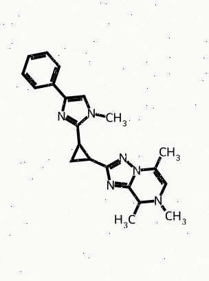 CC1=CN(C)C(C)c2nc(C3CC3c3nc(-c4ccccc4)cn3C)nn21